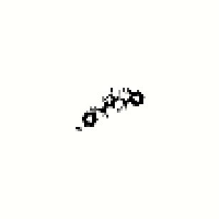 COc1ccc(NC(=O)c2n[nH]c(NC(=O)c3ccccc3Cl)c2Br)cc1